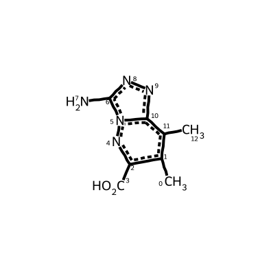 Cc1c(C(=O)O)nn2c(N)nnc2c1C